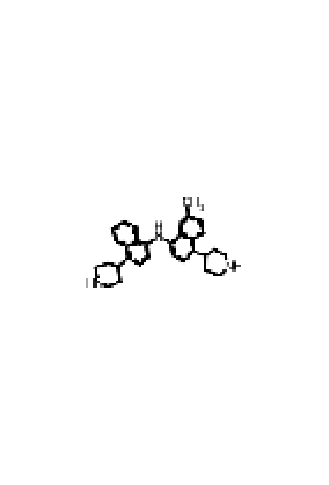 Cc1ccc2c(C3CCNCC3)ccc(Nc3ccc(C4CCNCC4)c4ccccc34)c2c1